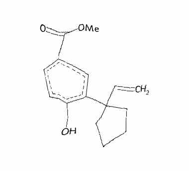 C=CC1(c2cc(C(=O)OC)ccc2O)CCCC1